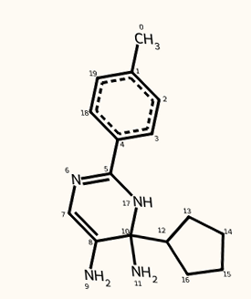 Cc1ccc(C2=NC=C(N)C(N)(C3CCCC3)N2)cc1